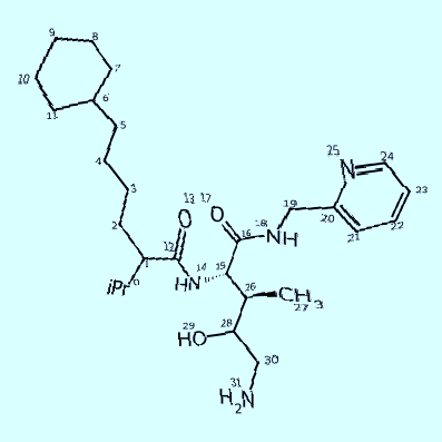 CC(C)C(CCCCC1CCCCC1)C(=O)N[C@H](C(=O)NCc1ccccn1)[C@@H](C)C(O)CN